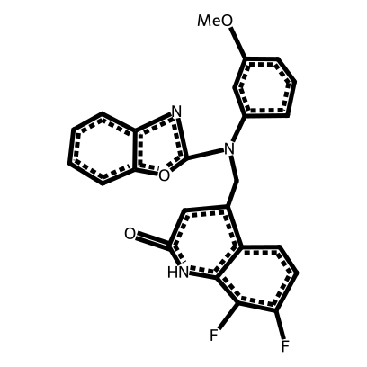 COc1cccc(N(Cc2cc(=O)[nH]c3c(F)c(F)ccc23)c2nc3ccccc3o2)c1